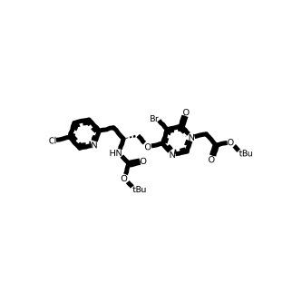 CC(C)(C)OC(=O)Cn1cnc(OC[C@@H](Cc2ccc(Cl)cn2)NC(=O)OC(C)(C)C)c(Br)c1=O